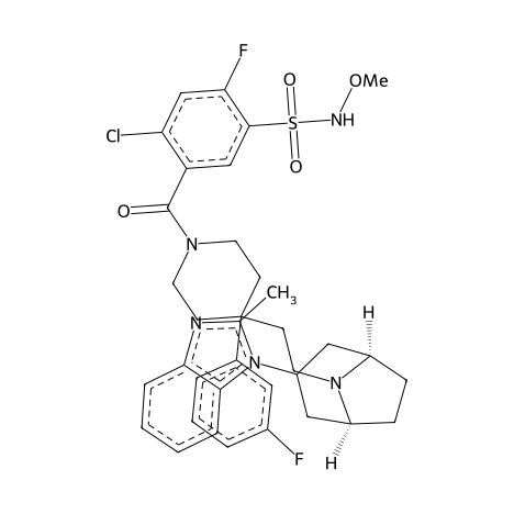 CONS(=O)(=O)c1cc(C(=O)N2CCC(CCN3[C@@H]4CC[C@H]3CC(n3c(C)nc5ccccc53)C4)(c3cccc(F)c3)CC2)c(Cl)cc1F